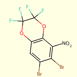 O=[N+]([O-])c1c(Br)c(Br)cc2c1OC(F)(F)C(F)(F)O2